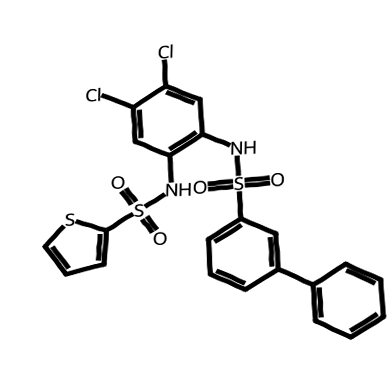 O=S(=O)(Nc1cc(Cl)c(Cl)cc1NS(=O)(=O)c1cccs1)c1cccc(-c2ccccc2)c1